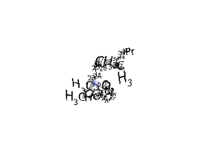 C/C(=C\C(c1ccc(C)cc1)c1c(O)c2ccccc2oc1=O)CCCC(C)CCCC(C)CCCC(C)C